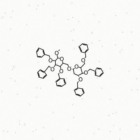 COC1OC(CO[C@H]2C[C@@H](OCc3ccccc3)C(OCc3ccccc3)C(COCc3ccccc3)O2)C(OCc2ccccc2)C(OCc2ccccc2)C1OCc1ccccc1